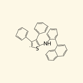 [c]1sc(Nc2ccccc2-c2cccc3ccccc23)c(-c2ccccc2)c1-c1ccccc1